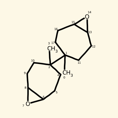 CC1(C2(C)CCC3OC3CC2)CCC2OC2CC1